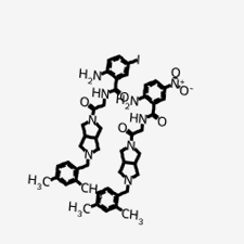 Cc1ccc(CN2CC3CN(C(=O)CNC(=O)c4cc(I)ccc4N)CC3C2)c(C)c1.Cc1ccc(CN2CC3CN(C(=O)CNC(=O)c4cc([N+](=O)[O-])ccc4N)CC3C2)c(C)c1